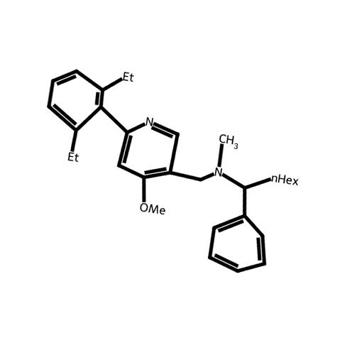 CCCCCCC(c1ccccc1)N(C)Cc1cnc(-c2c(CC)cccc2CC)cc1OC